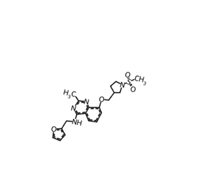 Cc1nc(NCc2ccco2)c2cccc(OCC3CCN(S(C)(=O)=O)C3)c2n1